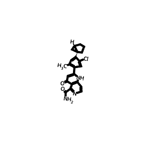 Cc1cc([C@@]23CCC[C@@H]2C3)c(Cl)cc1-c1cc(=O)c2c(C(N)=O)nccc2[nH]1